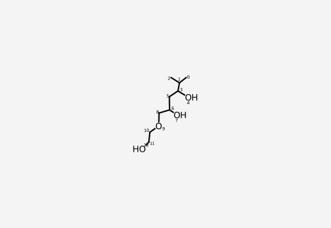 CC(C)C(O)CC(O)COCCO